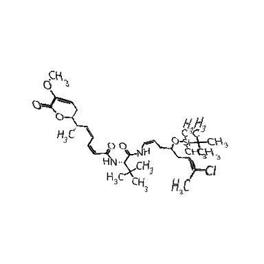 COC1=CC[C@@H]([C@@H](C)/C=C\C=C/C(=O)N[C@H](C(=O)N/C=C\C[C@H](C/C=C(\C)Cl)O[Si](C)(C)C(C)(C)C)C(C)(C)C)OC1=O